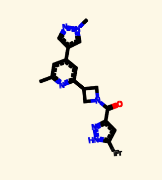 Cc1cc(-c2cnn(C)c2)cc(C2CN(C(=O)c3cc(C(C)C)[nH]n3)C2)n1